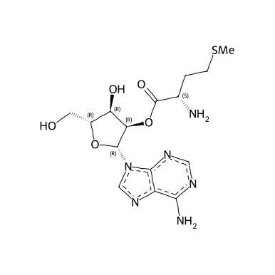 CSCC[C@H](N)C(=O)O[C@@H]1[C@H](O)[C@@H](CO)O[C@H]1n1cnc2c(N)ncnc21